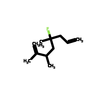 C=CCC(C)(F)CC(C)C(=C)C